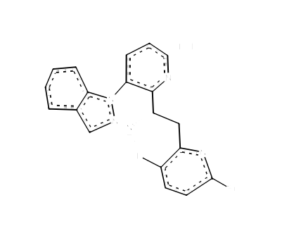 CCc1ccc(F)c(C[C@H](N)c2ncccc2-n2ncc3ccccc32)n1.Cl